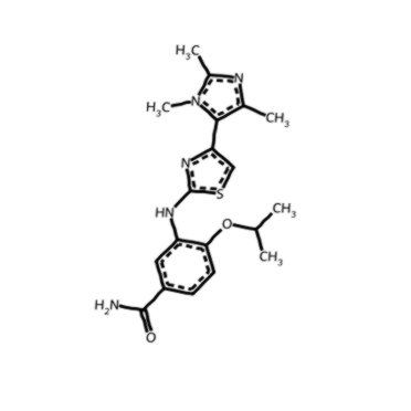 Cc1nc(C)n(C)c1-c1csc(Nc2cc(C(N)=O)ccc2OC(C)C)n1